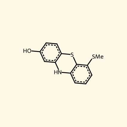 CSc1cccc2c1Sc1ccc(O)cc1N2